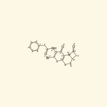 O=C(Cc1ccccc1)NOC(=O)C1=C(CCBr)CSC2CC(=O)N12